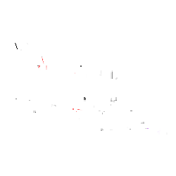 CCOC(=O)C(CC)OC(CC)c1ccc(I)cc1